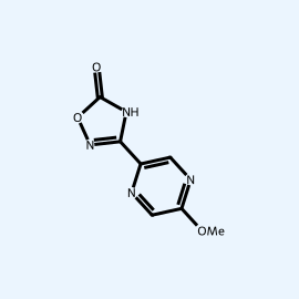 COc1cnc(-c2noc(=O)[nH]2)cn1